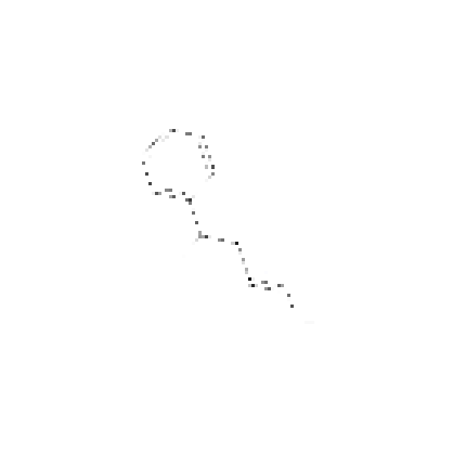 C/C=C/CC(CC)c1ccccc1